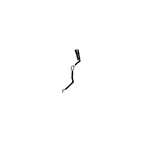 C=COCF